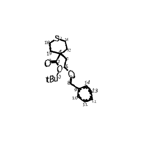 CC(C)(C)OC(=O)C1(CCOCc2ccccc2)CCSCC1